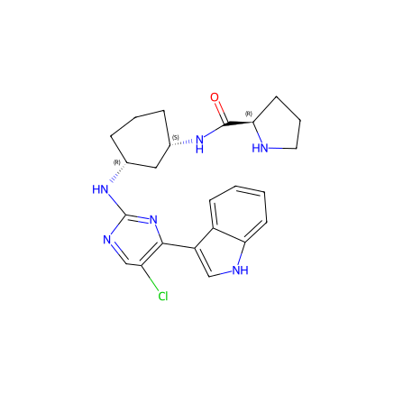 O=C(N[C@H]1CCC[C@@H](Nc2ncc(Cl)c(-c3c[nH]c4ccccc34)n2)C1)[C@H]1CCCN1